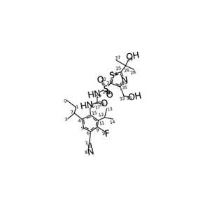 CCC(C)c1cc(C#N)c(F)c(C(C)C)c1NC(=O)NS(=O)(=O)c1sc(C(C)(C)O)nc1CO